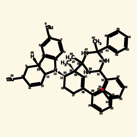 CC(C)(C)c1ccc2c(c1)[C@H]1CC(C(C)(C)C)C=CC1N2[C@H]1CCC(c2ccccc2)=C[C@]1(C)C1(C)NC(c2ccccc2)NC(C)(c2ccccc2)N1